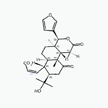 CC(C)(O)[C@@H]1CC(=O)[C@]2(C)[C@H](CC[C@@]3(C)[C@@H](c4ccoc4)OC(=O)[C@H]4O[C@]432)[C@@]1(C)/C=C\C(=O)O